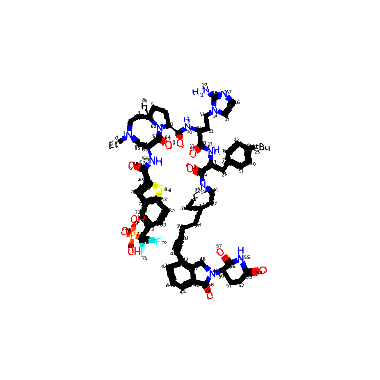 CCN1CC[C@H]2CC[C@@H](C(=O)NC(CCn3ccnc3N)C(=O)NC(Cc3ccc(C(C)(C)C)cc3)C(=O)N3CCC(CCC#Cc4cccc5c4CN(C4CCC(=O)NC4=O)C5=O)CC3)N2C(=O)[C@@H](NC(=O)c2cc3cc(C(F)(F)P(=O)(O)O)ccc3s2)C1